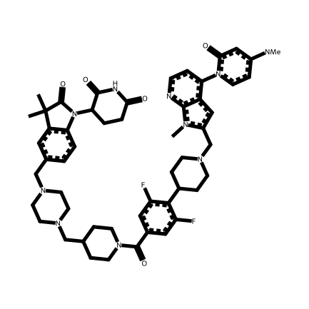 CNc1ccn(-c2ccnc3c2cc(CN2CCC(c4c(F)cc(C(=O)N5CCC(CN6CCN(Cc7ccc8c(c7)C(C)(C)C(=O)N8C7CCC(=O)NC7=O)CC6)CC5)cc4F)CC2)n3C)c(=O)c1